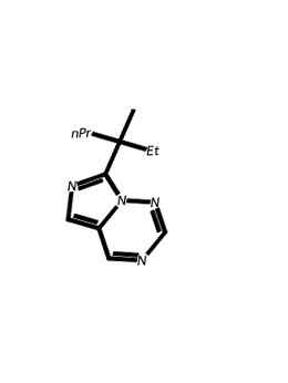 CCCC(C)(CC)c1ncc2cncnn12